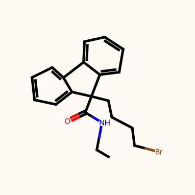 CCNC(=O)C1(CCCCBr)c2ccccc2-c2ccccc21